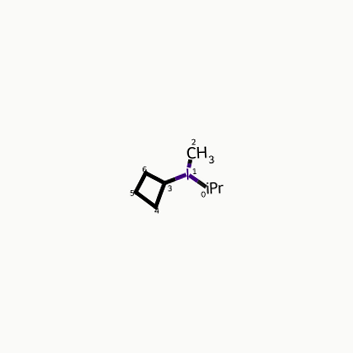 CC(C)I(C)C1CCC1